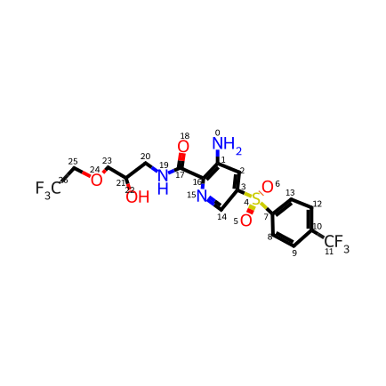 Nc1cc(S(=O)(=O)c2ccc(C(F)(F)F)cc2)cnc1C(=O)NCC(O)COCC(F)(F)F